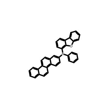 c1ccc(N(c2ccc3c(ccc4c5ccccc5ccc34)c2)c2cccc3c2oc2ccccc23)cc1